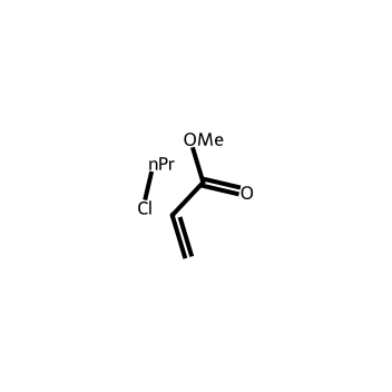 C=CC(=O)OC.CCCCl